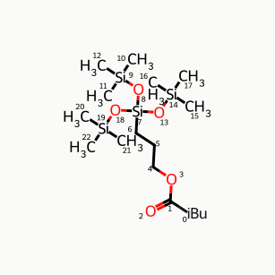 CCC(C)C(=O)OCCC[Si](O[Si](C)(C)C)(O[Si](C)(C)C)O[Si](C)(C)C